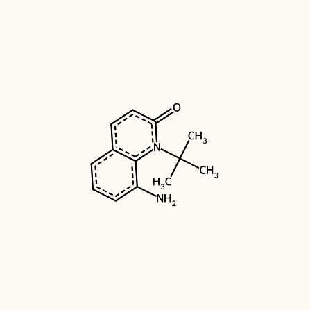 CC(C)(C)n1c(=O)ccc2cccc(N)c21